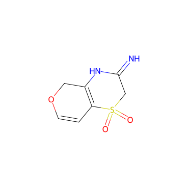 N=C1CS(=O)(=O)C2=C(COC=C2)N1